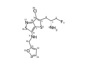 N[C@@H](CF)Cc1sc2c(NCc3ccco3)snc2c1Cl